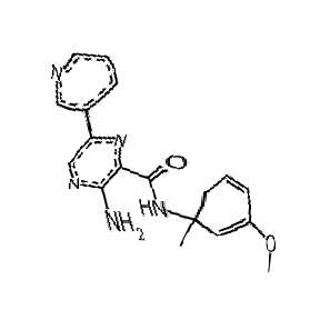 COC1=CC(C)(NC(=O)c2nc(-c3cccnc3)cnc2N)CC=C1